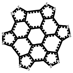 s1sc2c3ssc4c5ssc6c7ssc8c9ssc%10c%11ssc%12c1c2c1c(c%12%11)c(c%109)c(c87)c(c56)c1c34